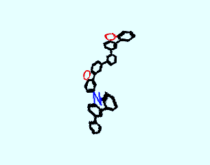 c1ccc(-c2ccc3c(c2)c2ccccc2n3-c2ccc3oc4ccc(-c5cccc(-c6ccc7oc8ccccc8c7c6)c5)cc4c3c2)cc1